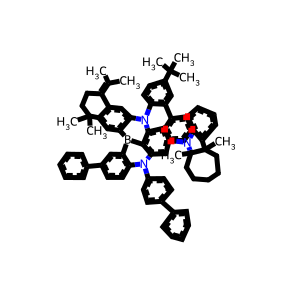 CC(C)=C1CCC(C)(C)c2cc3c(cc21)N(c1ccc(C(C)(C)C)cc1-c1ccccc1)c1cc(N2c4ccccc4C4(C)CCCCCC24C)cc2c1B3c1cc(-c3ccccc3)ccc1N2c1ccc(-c2ccccc2)cc1